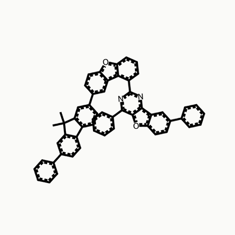 CC1(C)c2cc(-c3ccccc3)ccc2-c2ccc(-c3ccc4oc5cccc(-c6nc(-c7ccccc7)c7oc8ccc(-c9ccccc9)cc8c7n6)c5c4c3)cc21